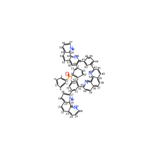 O=P(c1ccccc1)(c1ccccc1)c1cc(-c2ccc3ccc4cccnc4c3n2)cc(-c2ccc3ccc4ccc(-c5cccc(-c6ccc7ccc8cccnc8c7n6)c5)nc4c3n2)c1